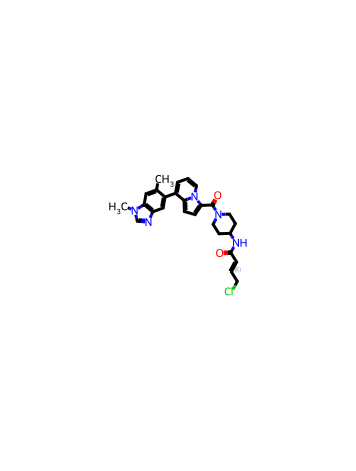 Cc1cc2c(cc1-c1cccn3c(C(=O)N4CCC(NC(=O)/C=C/CCl)CC4)ccc13)ncn2C